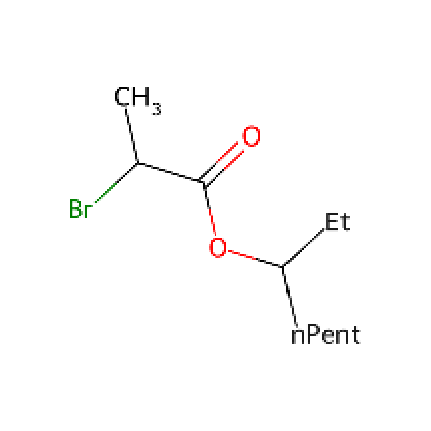 CCCCCC(CC)OC(=O)C(C)Br